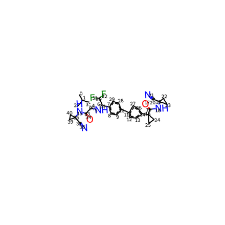 CC(C)C[C@H](N[C@@H](c1ccc(-c2ccc(C3(C(=O)NC4(C#N)CC4)CC3)cc2)cc1)C(F)F)C(=O)NC1(C#N)CC1